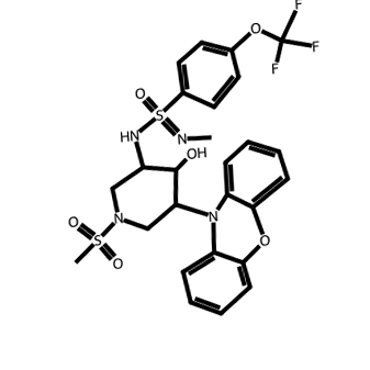 CN=S(=O)(NC1CN(S(C)(=O)=O)CC(N2c3ccccc3Oc3ccccc32)C1O)c1ccc(OC(F)(F)F)cc1